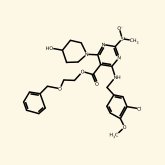 COc1ccc(CNc2nc([S+](C)[O-])nc(N3CCC(O)CC3)c2C(=O)OCCOCc2ccccc2)cc1Cl